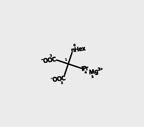 CCCCCCC(C(=O)[O-])(C(=O)[O-])C(C)C.[Mg+2]